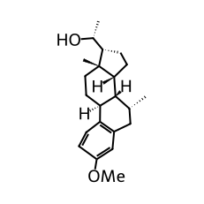 COc1ccc2c(c1)C[C@@H](C)[C@@H]1[C@@H]2CC[C@@]2(C)[C@@H]1CC[C@H]2[C@@H](C)O